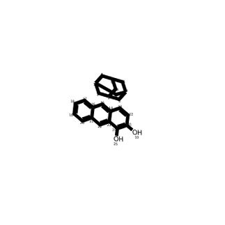 C1C2CC3CC1CC(C2)C3.Oc1ccc2cc3ccccc3cc2c1O